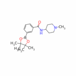 CN1CCC(NC(=O)c2cccc(B3OC(C)(C)C(C)(C)O3)c2)CC1